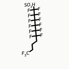 O=S(=O)(O)C(F)(F)C(F)(F)C(F)(F)C(F)(F)C(F)(F)C(F)(F)CCCC(F)(F)F